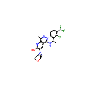 Cc1nnc(N[C@H](C)c2cccc(C(F)F)c2F)c2cc(N3CC4CC3CO4)c(O)nc12